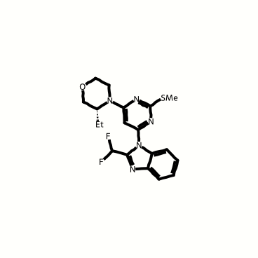 CC[C@@H]1COCCN1c1cc(-n2c(C(F)F)nc3ccccc32)nc(SC)n1